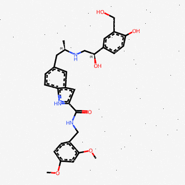 COc1ccc(CNC(=O)c2cc3cc(C[C@@H](C)NC[C@H](O)c4ccc(O)c(CO)c4)ccc3[nH]2)c(OC)c1